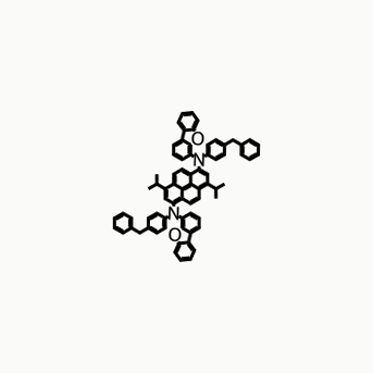 CC(C)c1cc(N(c2ccc(Cc3ccccc3)cc2)c2cccc3c2oc2ccccc23)c2ccc3c(C(C)C)cc(N(c4ccc(Cc5ccccc5)cc4)c4cccc5c4oc4ccccc45)c4ccc1c2c34